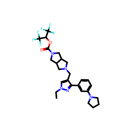 CCn1cc(CN2CC3CN(C(=O)OC(C(F)(F)F)C(F)(F)F)CC3C2)c(-c2cccc(N3CCCC3)c2)n1